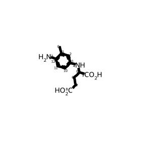 Cc1cc(NC(CCC(=O)O)C(=O)O)ccc1N